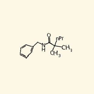 CCCC(C)(C)C(=O)NCc1ccccc1